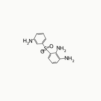 Nc1cccc(S(=O)(=O)c2cccc(N)c2N)c1